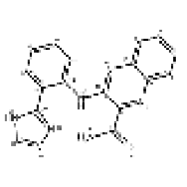 NC(=O)c1nc2ccccc2nc1Nc1ccccc1-c1nnc[nH]1